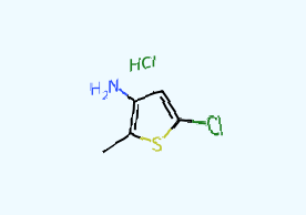 Cc1sc(Cl)cc1N.Cl